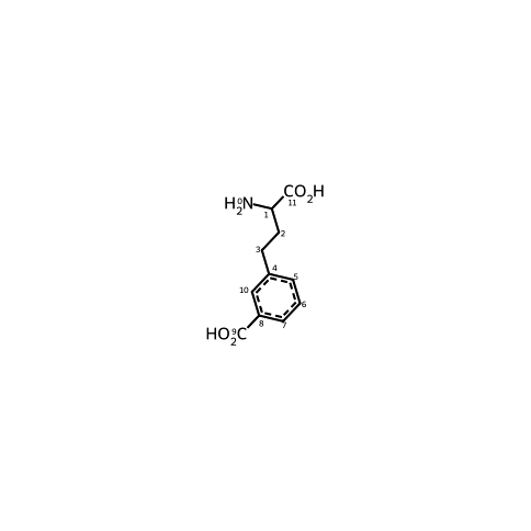 NC(CCc1cccc(C(=O)O)c1)C(=O)O